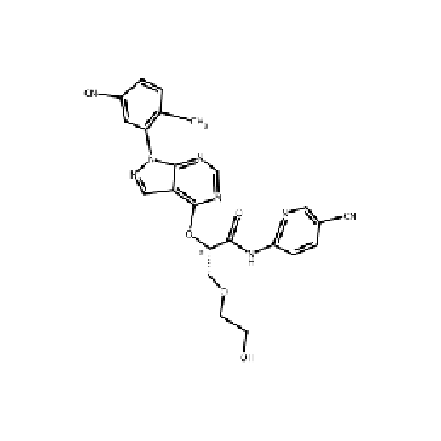 [C-]#[N+]c1ccc(C)c(-n2ncc3c(O[C@@H](COCCO)C(=O)Nc4ccc(C#N)cn4)ncnc32)c1